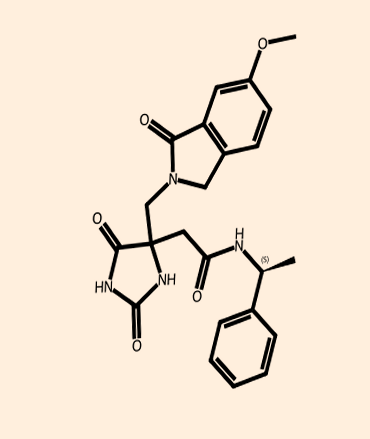 COc1ccc2c(c1)C(=O)N(CC1(CC(=O)N[C@@H](C)c3ccccc3)NC(=O)NC1=O)C2